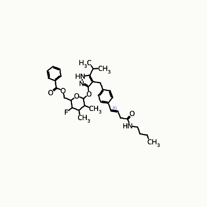 CCCCNC(=O)C/C=C/c1ccc(Cc2c(OC3OC(COC(=O)c4ccccc4)C(F)C(C)C3C)n[nH]c2C(C)C)cc1